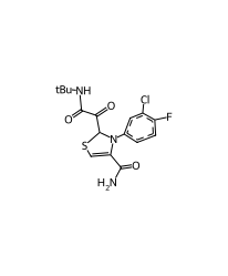 CC(C)(C)NC(=O)C(=O)C1SC=C(C(N)=O)N1c1ccc(F)c(Cl)c1